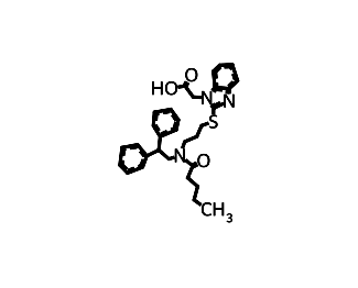 CCCCC(=O)N(CCCSc1nc2ccccc2n1CC(=O)O)CC(c1ccccc1)c1ccccc1